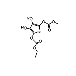 CCOC(=O)Oc1sc(OC(=O)OC)c(O)c1O